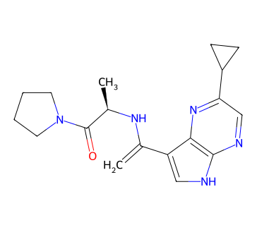 C=C(N[C@H](C)C(=O)N1CCCC1)c1c[nH]c2ncc(C3CC3)nc12